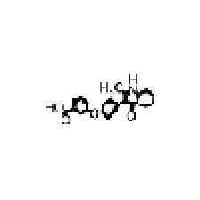 Cc1[nH]c2c(c(=O)c1-c1ccc(Oc3cccc(C(=O)O)c3)cc1)CCCC2